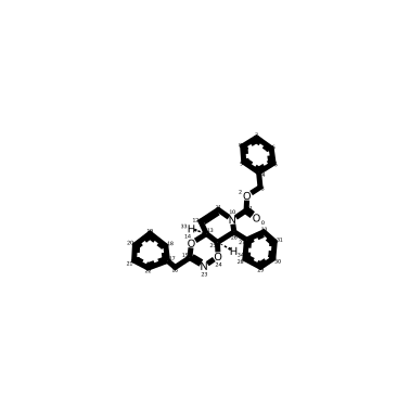 O=C(OCc1ccccc1)N1C=C[C@@H]2OC(Cc3ccccc3)=NO[C@@H]2C1c1ccccc1